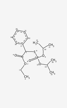 CCOC(=O)C(SP(=O)(OC(C)C)OC(C)C)c1ccccc1